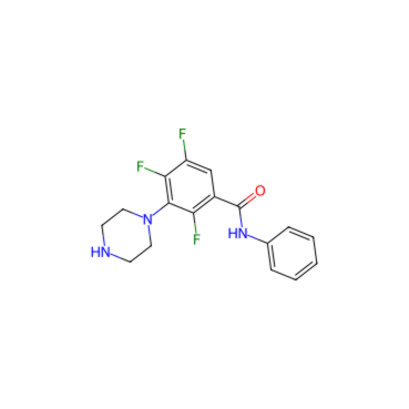 O=C(Nc1ccccc1)c1cc(F)c(F)c(N2CCNCC2)c1F